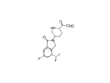 O=CC(=O)C1CCC(N2Cc3c(cc(F)cc3C(F)F)C2=O)CN1